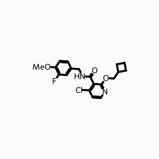 COc1ccc(CNC(=O)c2c(Cl)ccnc2OCC2CCC2)cc1F